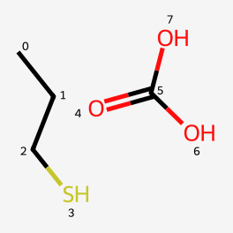 CCCS.O=C(O)O